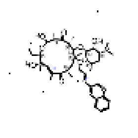 CC[C@H]1OC(O)[C@H](C)C(=O)[C@H](C)[C@@H](O[C@@H]2O[C@H](C)C[C@H](N(C)C)[C@H]2O)[C@](C)(OC/C=C/c2cnc3ccccc3c2)C[C@@H](C)C(=O)/C(C)=C/[C@]1(C)O